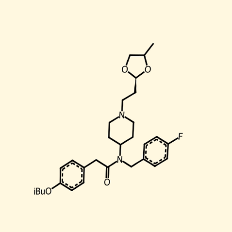 CC(C)COc1ccc(CC(=O)N(Cc2ccc(F)cc2)C2CCN(CC[C@H]3OCC(C)O3)CC2)cc1